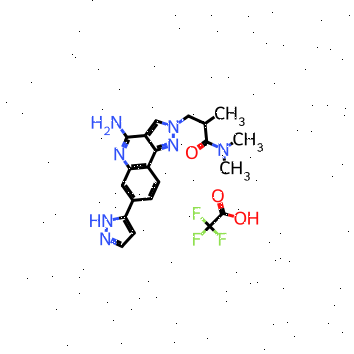 CC(Cn1cc2c(N)nc3cc(-c4ccn[nH]4)ccc3c2n1)C(=O)N(C)C.O=C(O)C(F)(F)F